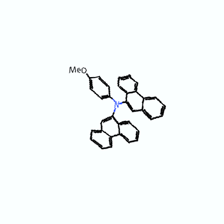 COc1ccc(N(c2cc3ccccc3c3ccccc23)c2cc3ccccc3c3ccccc23)cc1